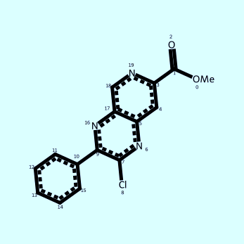 COC(=O)c1cc2nc(Cl)c(-c3ccccc3)nc2cn1